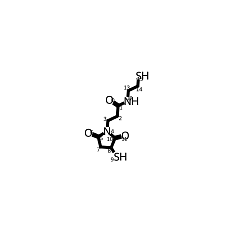 O=C(CCN1C(=O)CC(S)C1=O)NCCS